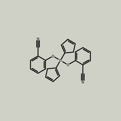 N#Cc1ccccc1[O][Zr]([O]c1ccccc1C#N)([C]1=CC=CC1)[C]1=CC=CC1